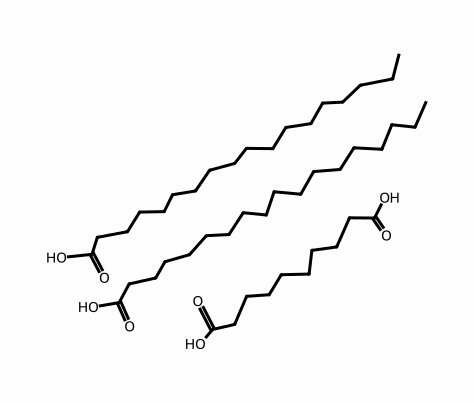 CCCCCCCCCCCCCCCCCC(=O)O.CCCCCCCCCCCCCCCCCC(=O)O.O=C(O)CCCCCCCCC(=O)O